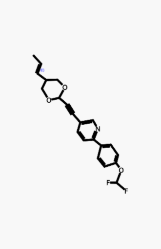 C/C=C/C1COC(C#Cc2ccc(-c3ccc(OC(F)F)cc3)nc2)OC1